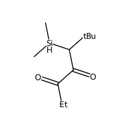 CCC(=O)C(=O)C([SiH](C)C)C(C)(C)C